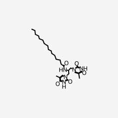 CCCCCCCCCCCCCCCC(=O)NC(Cn1cc(C)c(=O)[nH]c1=O)Cn1cc(C)c(=O)[nH]c1=O